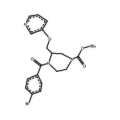 CC(C)(C)OC(=O)N1CCN(C(=O)c2ccc(Br)cc2)C(COc2cccnc2)C1